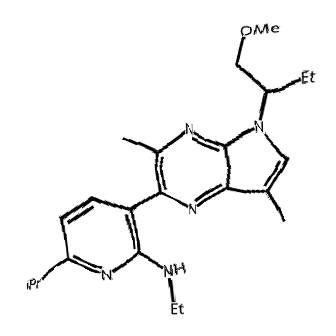 CCNc1nc(C(C)C)ccc1-c1nc2c(C)cn(C(CC)COC)c2nc1C